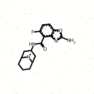 CN1C2CCCC1CC(NC(=O)c1c(F)ccc3oc(N)nc13)C2